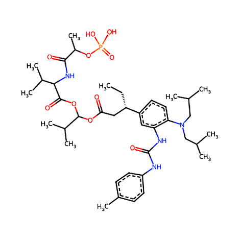 CC[C@@H](CC(=O)OC(OC(=O)C(NC(=O)C(C)OP(=O)(O)O)C(C)C)C(C)C)c1ccc(N(CC(C)C)CC(C)C)c(NC(=O)Nc2ccc(C)cc2)c1